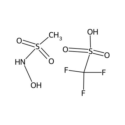 CS(=O)(=O)NO.O=S(=O)(O)C(F)(F)F